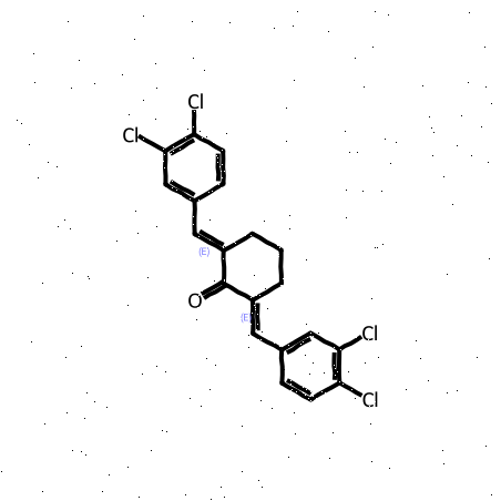 O=C1/C(=C/c2ccc(Cl)c(Cl)c2)CCC/C1=C\c1ccc(Cl)c(Cl)c1